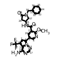 COc1ncc(-c2cc(C(F)(F)F)c3c(N)ncnn23)cc1C(=O)NC1CC(=O)N(Cc2ccccc2)C1